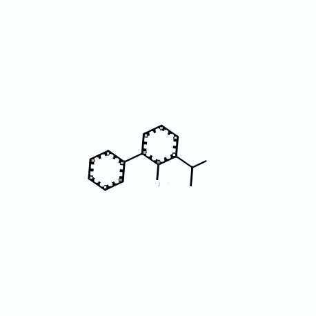 CC(=O)Nc1c(-c2ccccc2)cccc1C(C)C(=O)O